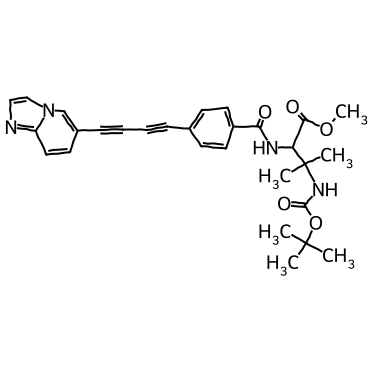 COC(=O)C(NC(=O)c1ccc(C#CC#Cc2ccc3nccn3c2)cc1)C(C)(C)NC(=O)OC(C)(C)C